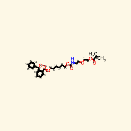 C=C(C)C(=O)OCCOCCNC(=O)OCCCCCCOC(=O)c1ccccc1C(=O)c1ccccc1